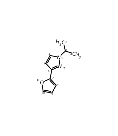 CC(C)n1ccc(-c2ccco2)n1